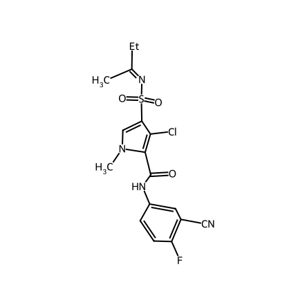 CC/C(C)=N/S(=O)(=O)c1cn(C)c(C(=O)Nc2ccc(F)c(C#N)c2)c1Cl